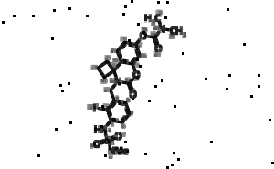 CNS(=O)(=O)Nc1cccc(CN2C(=O)Oc3cc(OC(=O)N(C)C)ccc3C23CCC3)c1F